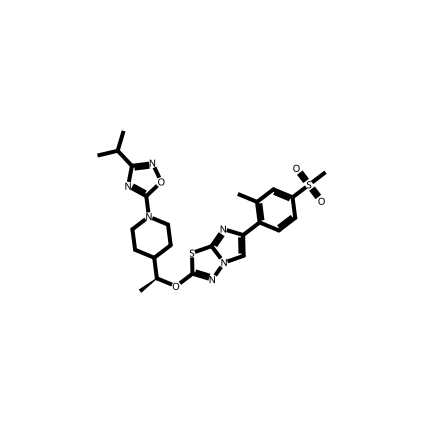 Cc1cc(S(C)(=O)=O)ccc1-c1cn2nc(O[C@@H](C)C3CCN(c4nc(C(C)C)no4)CC3)sc2n1